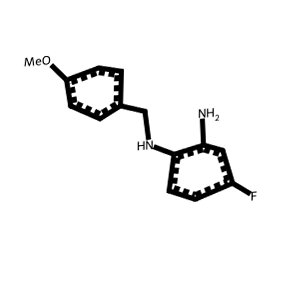 COc1ccc(CNc2ccc(F)cc2N)cc1